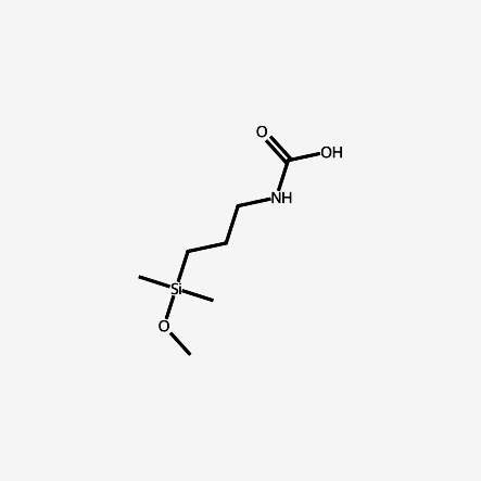 CO[Si](C)(C)CCCNC(=O)O